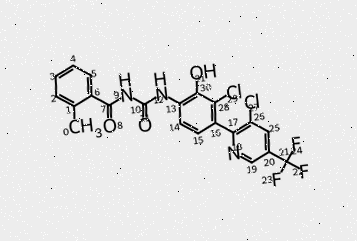 Cc1ccccc1C(=O)NC(=O)Nc1ccc(-c2ncc(C(F)(F)F)cc2Cl)c(Cl)c1O